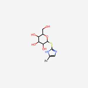 CC(=O)c1cnc(SC2OC(CO)C(O)C(O)C2O)[nH]1